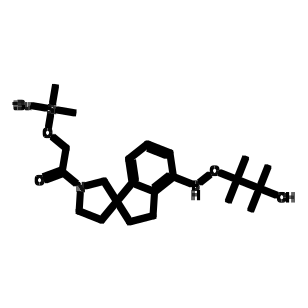 CC(C)(O)C(C)(C)OBc1cccc2c1CCC21CCN(C(=O)CO[Si](C)(C)C(C)(C)C)C1